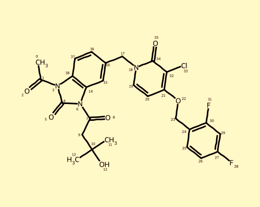 CC(=O)n1c(=O)n(C(=O)CC(C)(C)O)c2cc(Cn3ccc(OCc4ccc(F)cc4F)c(Cl)c3=O)ccc21